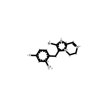 Fc1ccc(Cc2c(Br)nc3n2CCN=C3)c(C(F)(F)F)c1